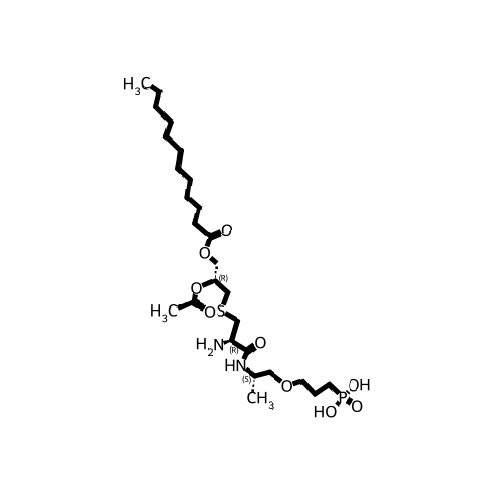 CCCCCCCCCCCC(=O)OC[C@H](CSC[C@H](N)C(=O)N[C@@H](C)COCCCP(=O)(O)O)OC(C)=O